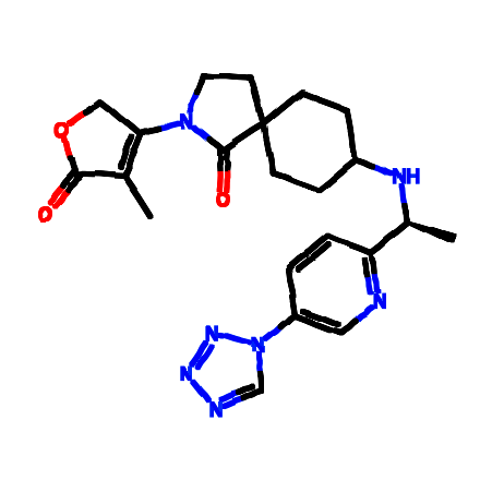 CC1=C(N2CCC3(CCC(N[C@@H](C)c4ccc(-n5cnnn5)cn4)CC3)C2=O)COC1=O